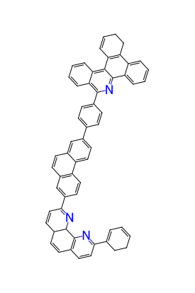 C1=CCCC(c2ccc3c(n2)C2N=C(c4ccc5c(ccc6cc(-c7ccc(-c8nc9c%10ccccc%10c%10c(c9c9ccccc89)C=CCC%10)cc7)ccc65)c4)C=CC2C=C3)=C1